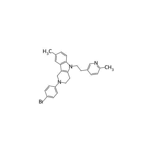 Cc1ccc2c(c1)c1c(n2CCc2ccc(C)nc2)CCN(c2ccc(Br)cc2)C1